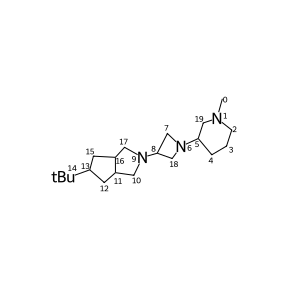 CN1CCCC(N2CC(N3CC4CC(C(C)(C)C)CC4C3)C2)C1